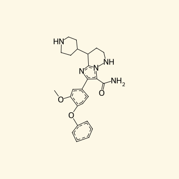 COc1cc(-c2nc3n(c2C(N)=O)NCCC3C2CCNCC2)ccc1Oc1ccccc1